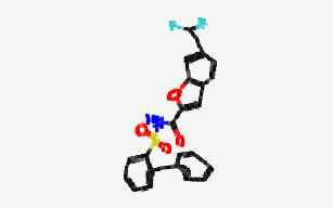 O=C(NS(=O)(=O)c1ccccc1-c1ccccc1)c1cc2ccc(C(F)F)cc2o1